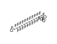 O=S(=O)([O-])C(F)(F)C(F)(F)C(F)(F)C(F)(F)C(F)(F)C(F)(F)C(F)(F)C(F)(F)C(F)(F)C(F)(F)C(F)(F)CF.[Li+]